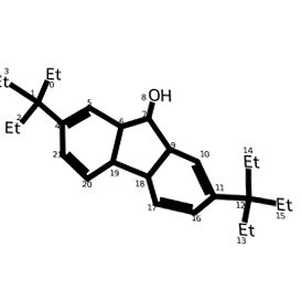 CCC(CC)(CC)C1=CC2C(O)C3C=C(C(CC)(CC)CC)C=CC3C2C=C1